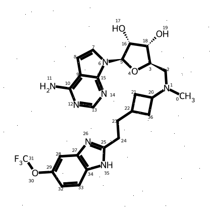 CN(C[C@H]1O[C@@H](n2ccc3c(N)ncnc32)[C@H](O)[C@@H]1O)C1CC(CCc2nc3cc(OC(F)(F)F)ccc3[nH]2)C1